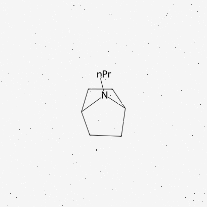 [CH2]CCN1C2CCC1CC2